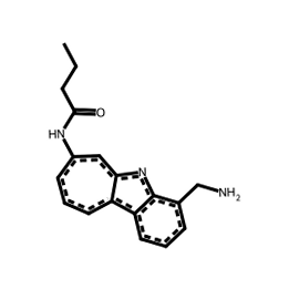 CCCC(=O)Nc1cccc2c3cccc(CN)c3nc-2c1